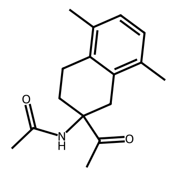 CC(=O)NC1(C(C)=O)CCc2c(C)ccc(C)c2C1